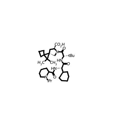 CC(C)N1CCCCC1C(=O)N[C@H](C(=O)N[C@H](C(=O)N1C[C@]2(C[C@H]1C(=O)O)C(C)(C)C21CCC1)C(C)(C)C)C1CCCCC1